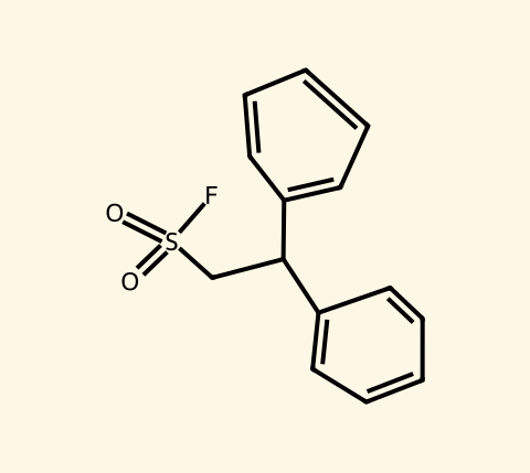 O=S(=O)(F)CC(c1ccccc1)c1ccccc1